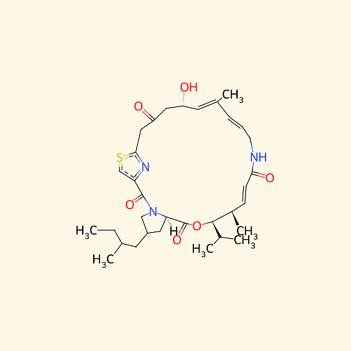 CCC(C)CC1C[C@@H]2C(=O)O[C@H](C(C)C)[C@H](C)/C=C/C(=O)NC/C=C/C(C)=C/[C@@H](O)CC(=O)Cc3nc(cs3)C(=O)N2C1